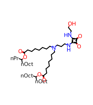 CCCCCCCCC(CCC)OC(=O)CCCCCCCN(CCCCCCCC(=O)OC(CCCCCCCC)CCCCCCCC)CCCNc1c(NCCO)c(=O)c1=O